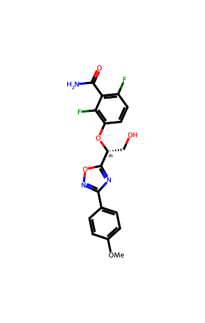 COc1ccc(-c2noc([C@@H](CO)Oc3ccc(F)c(C(N)=O)c3F)n2)cc1